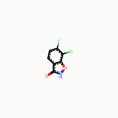 O=c1[nH]oc2c(Cl)c(F)ccc12